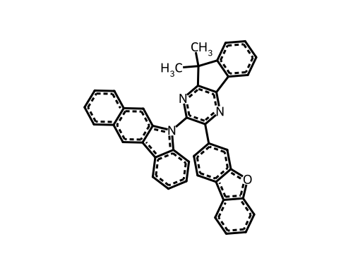 CC1(C)c2ccccc2-c2nc(-c3ccc4c(c3)oc3ccccc34)c(-n3c4ccccc4c4cc5ccccc5cc43)nc21